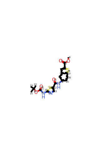 COC(=O)c1cc2cc(NC(=O)c3cnc(NC(=O)OC(C)(C)C)s3)ccc2s1